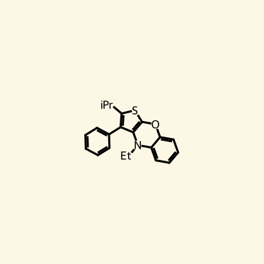 CCN1c2ccccc2Oc2sc(C(C)C)c(-c3ccccc3)c21